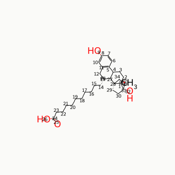 C[C@]12CCC3c4ccc(O)cc4C[C@@H](CCCCCCCCCCC(=O)O)C3[C@]13CC[C@]2(O)CC3